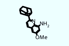 COc1cc(N)c2nc(C3C4CC5CC(C4)CC3C5)ccc2c1